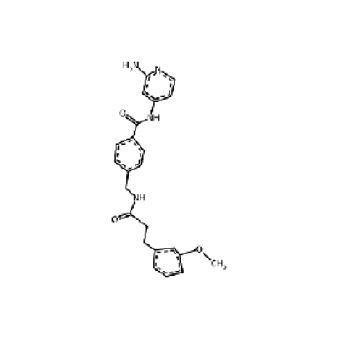 COc1cccc(CCC(=O)NCc2ccc(C(=O)Nc3ccnc(N)c3)cc2)c1